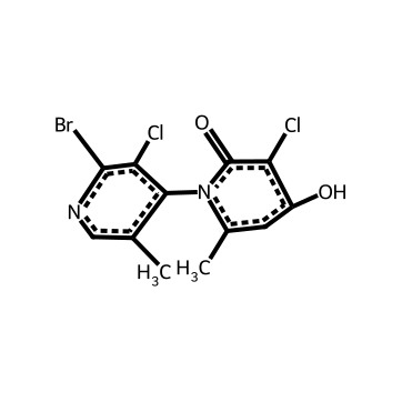 Cc1cnc(Br)c(Cl)c1-n1c(C)cc(O)c(Cl)c1=O